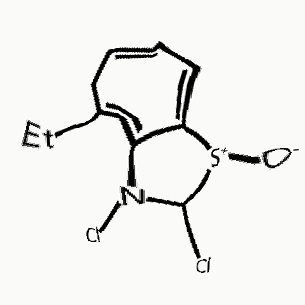 CCc1cccc2c1N(Cl)C(Cl)[S+]2[O-]